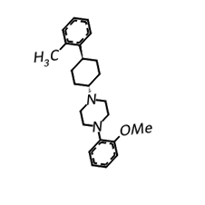 COc1ccccc1N1CCN([C@H]2CC[C@H](c3ccccc3C)CC2)CC1